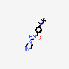 C/C(=C\C(C)(C)C)c1ccc(C(=O)NCCN2CCNCC2)cc1